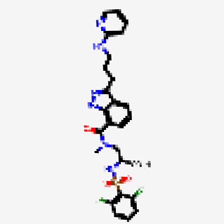 CN(CC(NS(=O)(=O)c1c(Cl)cccc1Cl)C(=O)O)C(=O)c1cccc2c(CCCNc3ccccn3)n[nH]c12